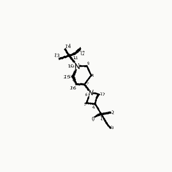 CC(C)(C)C1CN(C2CCN(C(C)(C)C)CC2)C1